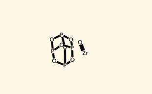 O1P2OP3OP1OP(O2)O3.[O]=[Zr]